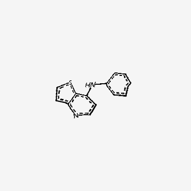 c1ccc(Nc2ccnc3ccsc23)cc1